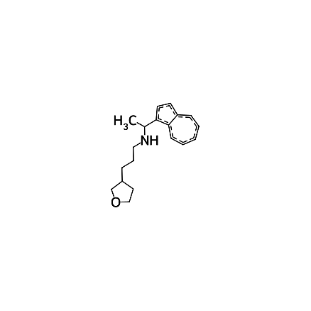 CC(NCCCC1CCOC1)c1ccc2cccccc1-2